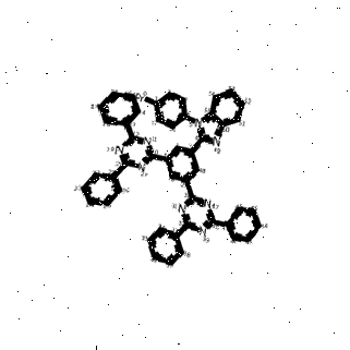 CC(C)c1ccc(-n2c(-c3cc(-c4nc(-c5ccccc5)nc(-c5ccccc5)n4)cc(-c4nc(-c5ccccc5)nc(-c5ccccc5)n4)c3)nc3ccccc32)cc1